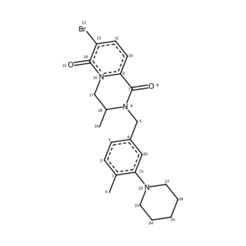 Cc1ccc(CN2C(=O)c3ccc(Br)c(=O)n3CC2C)cc1N1CCCCC1